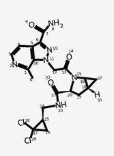 Cc1nccc2c(C(N)=O)nn(CC(=O)N3C4C[C@@H]4C[C@H]3C(=O)NC[C@H]3CC3(Cl)Cl)c12